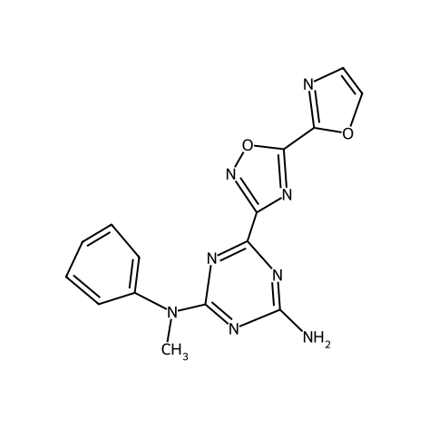 CN(c1ccccc1)c1nc(N)nc(-c2noc(-c3ncco3)n2)n1